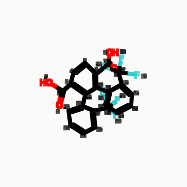 O=C(O)c1ccc(C(=O)O)c(-c2ccccc2C(F)(F)F)c1-c1ccccc1C(F)(F)F